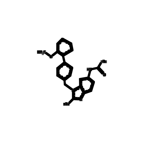 CCCCC(=O)Nc1ccc2nc(CCCC)n(Cc3ccc(-c4ccccc4OC(=O)O)cc3)c2c1